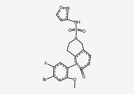 COc1cc(Br)c(F)cc1-n1c2c(ccc1=O)CN(S(=O)(=O)Nc1ccon1)CC2